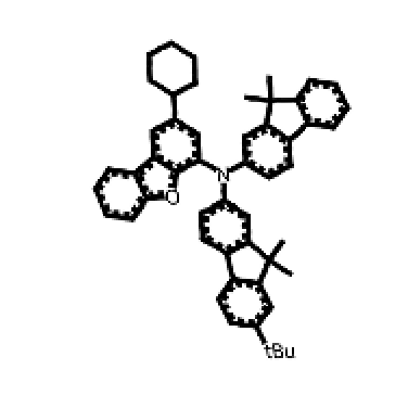 CC(C)(C)c1ccc2c(c1)C(C)(C)c1cc(N(c3ccc4c(c3)C(C)(C)c3ccccc3-4)c3cc(C4CCCCC4)cc4c3oc3ccccc34)ccc1-2